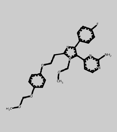 COCOc1ccc(OCCc2nc(-c3ccc(F)cc3)c(-c3ccnc(N)n3)n2COC)cc1